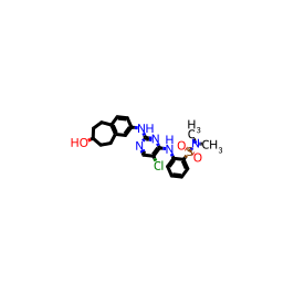 CN(C)S(=O)(=O)c1ccccc1Nc1nc(Nc2ccc3c(c2)CCC(O)CC3)ncc1Cl